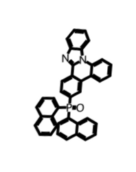 O=P(c1ccc2c(c1)c1ccccc1n1c3ccccc3nc21)(c1cccc2ccccc12)c1cccc2ccccc12